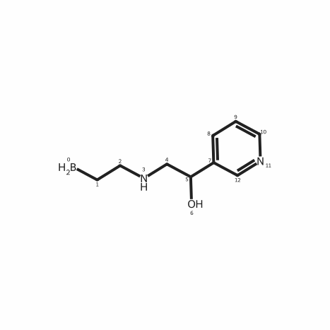 BCCNCC(O)c1cccnc1